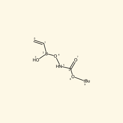 C=CB(O)ONC(=O)OC(C)(C)C